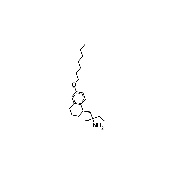 CCCCCCCOc1ccc2c(c1)CCC[C@@H]2C[C@@](C)(N)CC